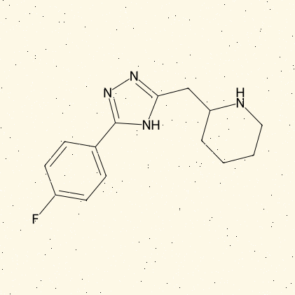 Fc1ccc(-c2nnc(CC3CCCCN3)[nH]2)cc1